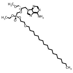 CCCCCCCCCCCCCCCCCCOCCOP(=O)(CO[C@H](COC)Cn1cnc2c(N)ncnc21)OCC